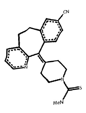 CNC(=S)N1CCC(=C2c3ccc(C#N)cc3CCc3cccnc32)CC1